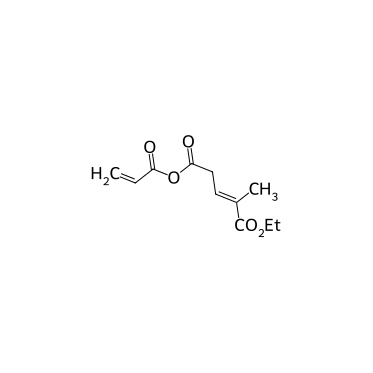 C=CC(=O)OC(=O)CC=C(C)C(=O)OCC